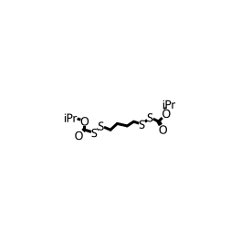 CC(C)OC(=O)SSCCCCSSC(=O)OC(C)C